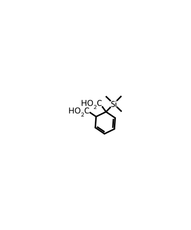 C[Si](C)(C)C1(C(=O)O)C=CC=CC1C(=O)O